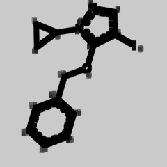 Ic1cnn(C2CC2)c1OCc1ccccc1